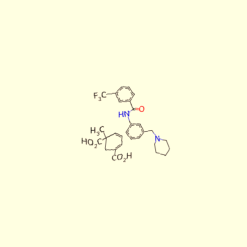 CC1(C(=O)O)C=CC=C(C(=O)O)C1.O=C(Nc1cccc(CN2CCCCC2)c1)c1cccc(C(F)(F)F)c1